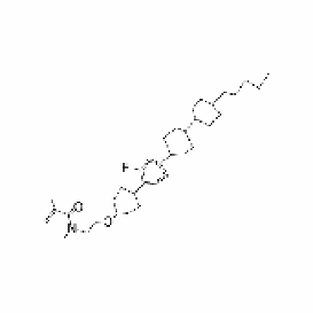 C=C(C)C(=O)N(C)CCOC1CCC(c2ccc(C3CCC(C4CCC(CCCCC)CC4)CC3)cc2F)CC1